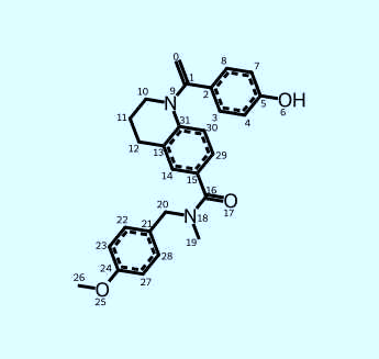 C=C(c1ccc(O)cc1)N1CCCc2cc(C(=O)N(C)Cc3ccc(OC)cc3)ccc21